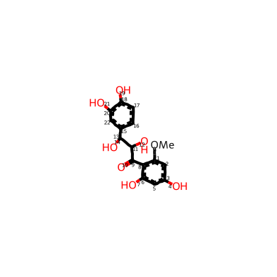 COc1cc(O)cc(O)c1C(=O)C(O)C(O)c1ccc(O)c(O)c1